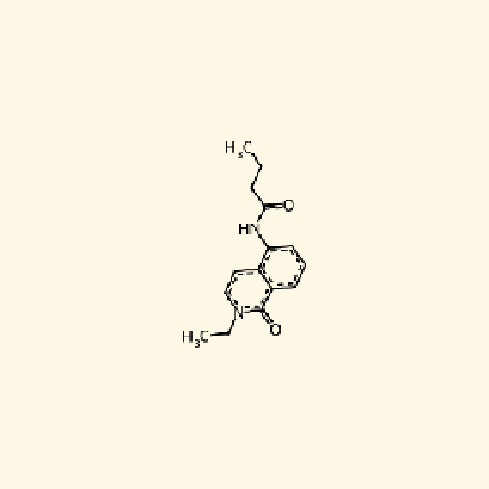 CCCC(=O)Nc1cccc2c(=O)n(CC)ccc12